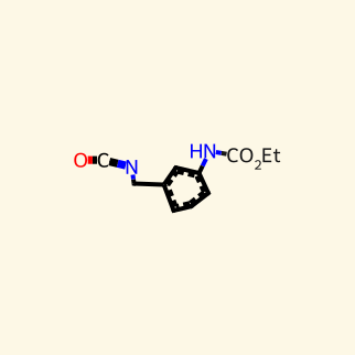 [CH2]COC(=O)Nc1cccc(CN=C=O)c1